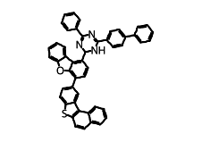 c1ccc(C2=NC(c3ccc(-c4ccc5sc6ccc7ccccc7c6c5c4)c4oc5ccccc5c34)NC(c3ccc(-c4ccccc4)cc3)=N2)cc1